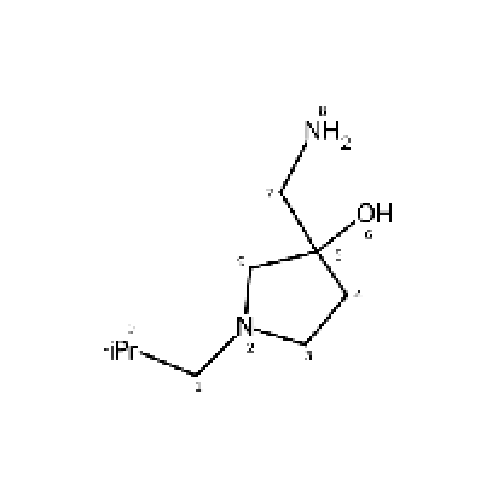 C[C](C)CN1CCC(O)(CN)C1